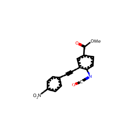 COC(=O)c1ccc(N=C=O)c(C#Cc2ccc([N+](=O)[O-])cc2)c1